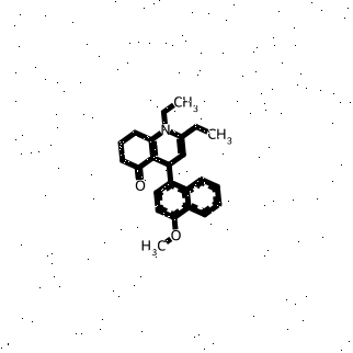 CCC1=CC(c2ccc(OC)c3ccccc23)C2=C(CCCC2=O)N1CC